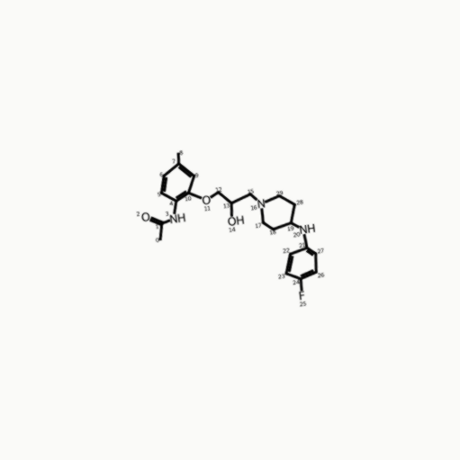 CC(=O)Nc1ccc(C)cc1OCC(O)CN1CCC(Nc2ccc(F)cc2)CC1